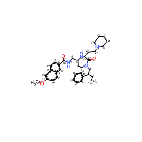 CC[C@H](CN1CC[C@@H](CNC(=O)c2ccc3cc(OC)ccc3c2)N[C@@H](CCN2CCCCC2)C1=O)c1ccccc1